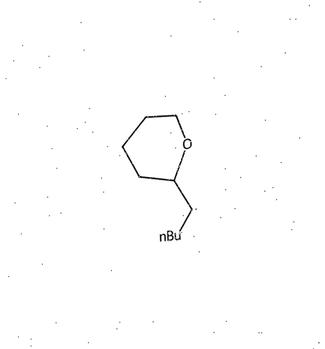 CCCC[CH]C1CCCCO1